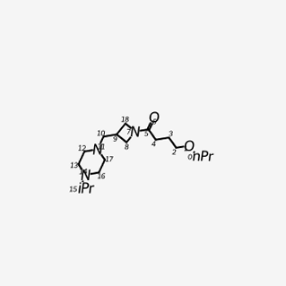 CCCOCCCC(=O)N1CC(CN2CCN(C(C)C)CC2)C1